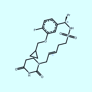 CC(C)[C@@H](NS(=O)(=O)CC/C=C/CN1CCC(=O)NC1=O)c1ccc(F)c(OCC2CC2)c1